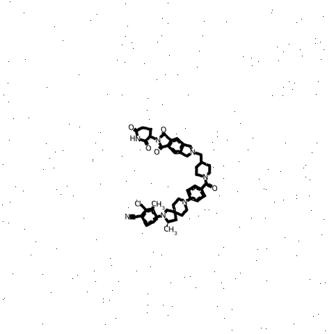 Cc1c(N2CC3(CCN(c4ccc(C(=O)N5CCC(CN6Cc7cc8c(cc7C6)C(=O)N(C6CCC(=O)NC6=O)C8=O)CC5)cc4)CC3)C[C@@H]2C)ccc(C#N)c1Cl